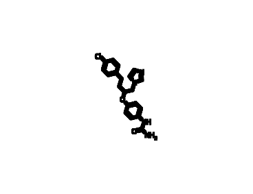 NC(=O)Nc1ccc(OC(CCc2ccc(Cl)cc2)Cn2ccnc2)cc1